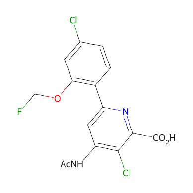 CC(=O)Nc1cc(-c2ccc(Cl)cc2OCF)nc(C(=O)O)c1Cl